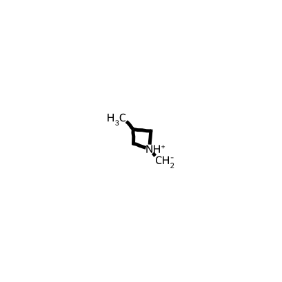 [CH2-][NH+]1CC(C)C1